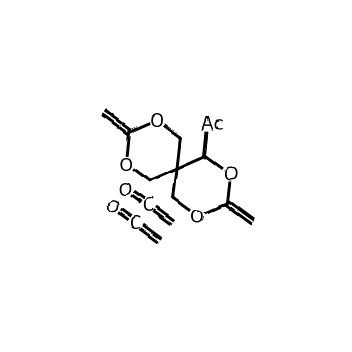 C=C1OCC2(CO1)COC(=C)OC2C(C)=O.C=C=O.C=C=O